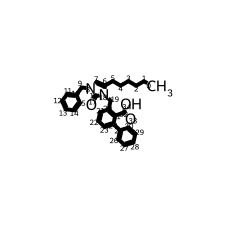 CCCCCCc1cn(Cc2ccccc2)c(=O)n1Cc1cccc(-c2ccccc2)c1C(=O)O